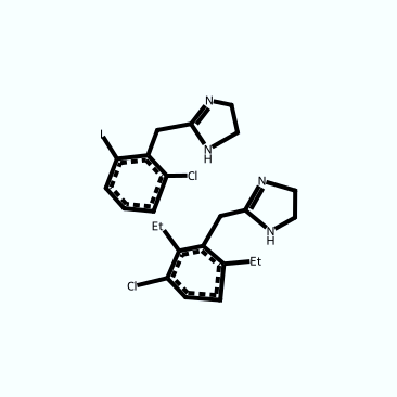 CCc1ccc(Cl)c(CC)c1CC1=NCCN1.Clc1cccc(I)c1CC1=NCCN1